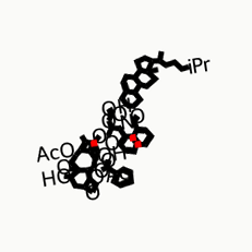 CC(=O)OC1C(=O)C2(C)C(O)CC3OCC3(OC(C)=O)C2C(OC(=O)c2ccccc2)C2(O)CC(OC(=O)C(OC(=O)OC3CCC4C(=CCC5C4CCC4(C)C(C(C)CCCC(C)C)CCC54)C3)C(NC(=O)c3ccccc3)c3ccccc3)C(C)=C1C2(C)C